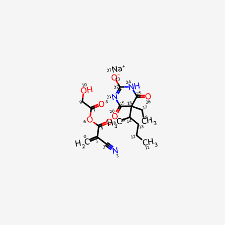 C=C(C#N)C(=O)OC(=O)CO.CCCC(C)C1(CC)C(=O)N=C([O-])NC1=O.[Na+]